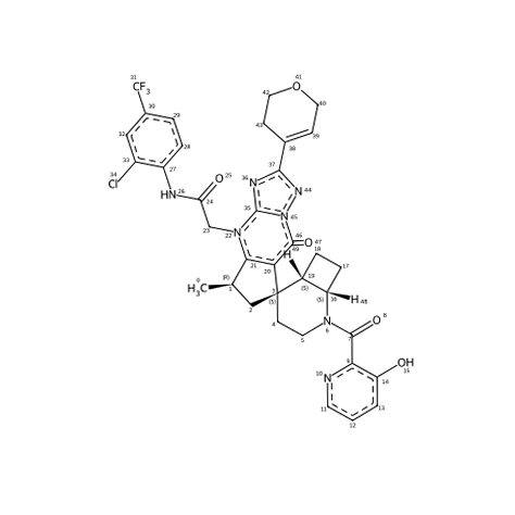 C[C@@H]1C[C@@]2(CCN(C(=O)c3ncccc3O)[C@H]3CC[C@H]32)c2c1n(CC(=O)Nc1ccc(C(F)(F)F)cc1Cl)c1nc(C3=CCOCC3)nn1c2=O